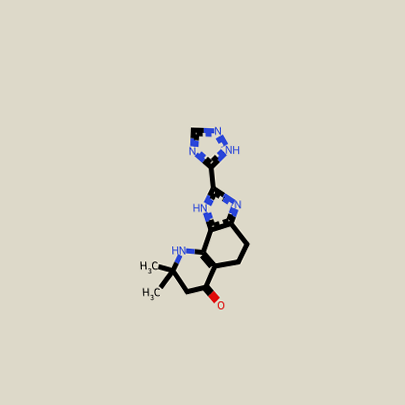 CC1(C)CC(=O)C2=C(N1)c1[nH]c(-c3ncn[nH]3)nc1CC2